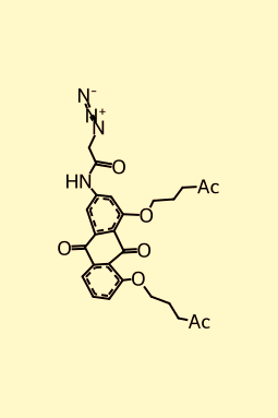 CC(=O)CCCOc1cccc2c1C(=O)c1c(OCCCC(C)=O)cc(NC(=O)CN=[N+]=[N-])cc1C2=O